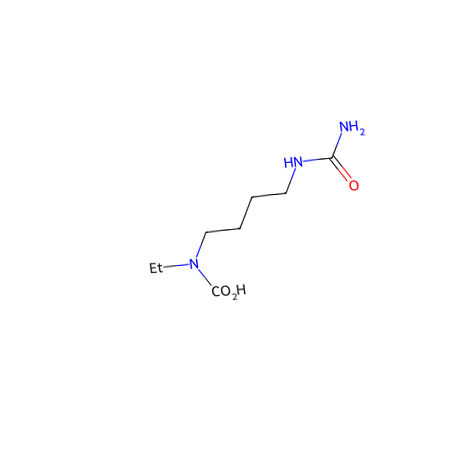 CCN(CCCCNC(N)=O)C(=O)O